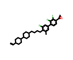 C=CC1CCC(C2CCC(CCCCc3c(C)cc(-c4ccc(C5CO5)c(F)c4F)cc3F)CC2)CC1